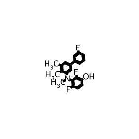 Cc1cc(-c2cccc(F)c2)cc(N(C)c2c(F)ccc(O)c2F)c1C